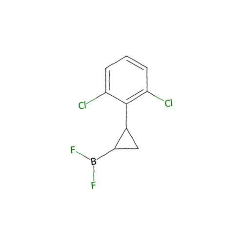 FB(F)C1CC1c1c(Cl)cccc1Cl